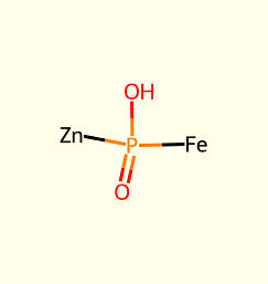 O=[P](O)([Fe])[Zn]